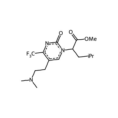 COC(=O)C(CC(C)C)n1cc(CCN(C)C)c(C(F)(F)F)nc1=O